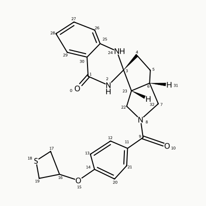 O=C1N[C@]2(CC[C@@H]3CN(C(=O)c4ccc(OC5CSC5)cc4)C[C@@H]32)Nc2ccccc21